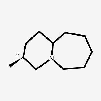 C[C@H]1CCC2CCCCCN2C1